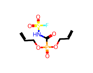 C=CCOP(=O)(OCC=C)C(=O)NS(=O)(=O)F